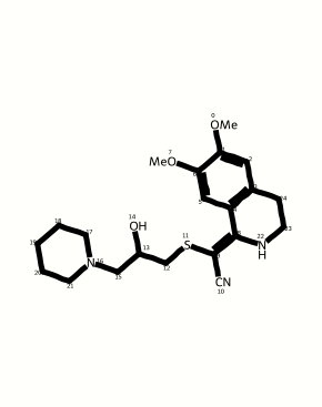 COc1cc2c(cc1OC)C(=C(C#N)SCC(O)CN1CCCCC1)NCC2